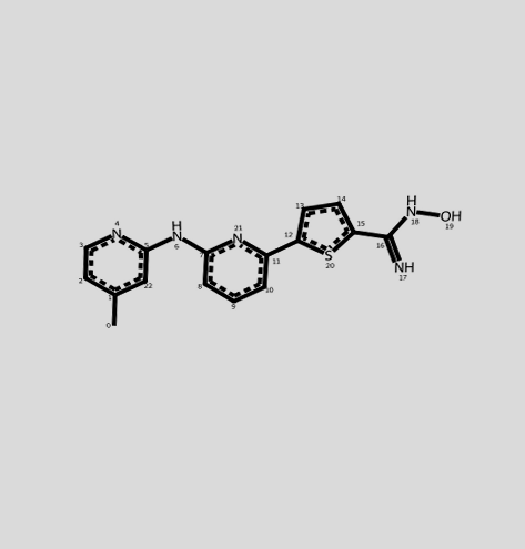 Cc1ccnc(Nc2cccc(-c3ccc(C(=N)NO)s3)n2)c1